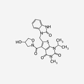 CC(C)n1c(=O)n(C)c(=O)c2c(C(=O)N3CC(O)CO3)c(Cn3c(=O)[nH]c4ccccc43)sc21